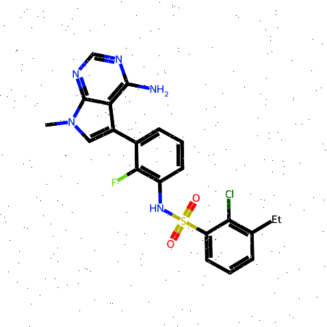 CCc1cccc(S(=O)(=O)Nc2cccc(-c3cn(C)c4ncnc(N)c34)c2F)c1Cl